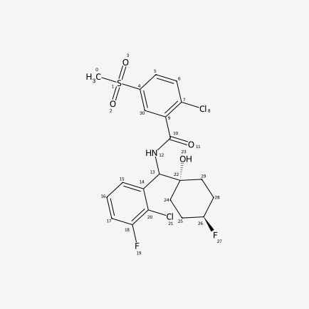 CS(=O)(=O)c1ccc(Cl)c(C(=O)NC(c2cccc(F)c2Cl)[C@]2(O)CC[C@H](F)CC2)c1